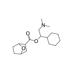 CN(C)CC(OC(=O)C1CC2CCC1O2)C1CCCCC1